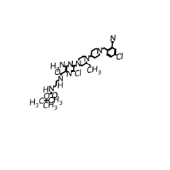 CC[C@H]1CN(c2nc(N)c(C(=O)NCCNC(=O)OC(C)(C)C)nc2Cl)CCN1C1CCN(Cc2ccc(Cl)cc2C#N)CC1